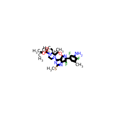 CC[C@H]1[C@H]2[C@H](C)Oc3nc(-c4cc(C)c(F)c(N)c4F)c(F)c4nc(SC)nc(c34)N2CCN1C(=O)OC(C)(C)C